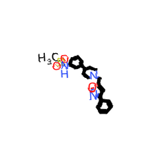 CS(=O)(=O)Nc1cccc(C2CCN(Cc3cc(-c4ccccc4)no3)CC2)c1